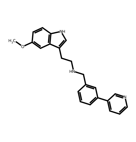 COc1ccc2[nH]cc(CCNCc3cccc(-c4cccnc4)c3)c2c1